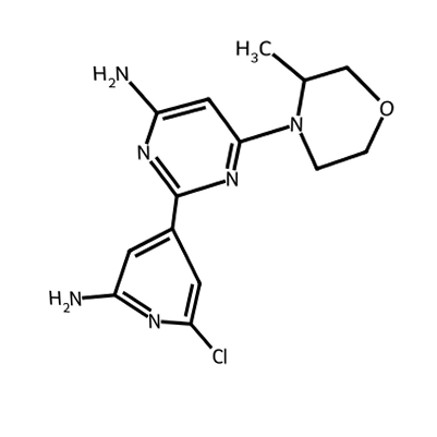 CC1COCCN1c1cc(N)nc(-c2cc(N)nc(Cl)c2)n1